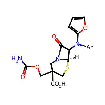 CC(=O)N(c1ccco1)C1C(=O)N2CC(COC(N)=O)(C(=O)O)CS[C@H]12